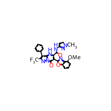 COc1cccc2oc(-c3c(C(=O)Nc4ccn(C)n4)[nH]c4c(-c5ccccc5)c(C(F)(F)F)nn4c3=O)nc12